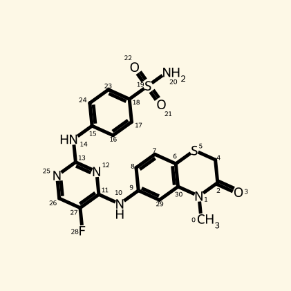 CN1C(=O)CSc2ccc(Nc3nc(Nc4ccc(S(N)(=O)=O)cc4)ncc3F)cc21